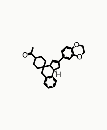 CC(=O)C1CCC2(CC1)Cc1ccccc1[C@@H]1CC(c3ccc4c(c3)OCCO4)=CC12